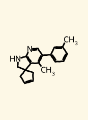 Cc1cccc(-c2cnc3c(c2C)C2(CC=CC2)CN3)c1